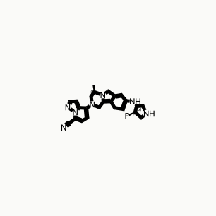 C[C@@H]1CN(c2ccc(C#N)n3nccc23)CC2=C3CC=C(N[C@H]4CNC[C@H]4F)C=C3CN21